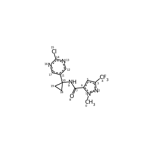 Cn1nc(C(F)(F)F)cc1C(=O)NC1(c2cnc(Cl)nc2)CC1